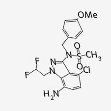 COc1ccc(CN(c2nn(CC(F)F)c3c(N)ccc(Cl)c23)S(C)(=O)=O)cc1